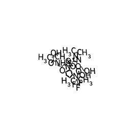 CC(C)n1cc(S(=O)(=O)N2C[C@H](CNC(=O)C(C)(C)O)Oc3ccc(N(C(=O)O)C(C)(C)C(F)(F)F)cc32)c(OCCO)n1